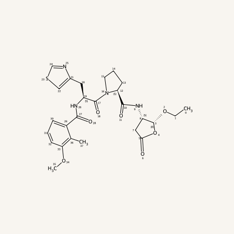 CCO[C@@H]1OC(=O)C[C@@H]1NC(=O)[C@@H]1CCCN1C(=O)[C@H](Cc1cscn1)NC(=O)c1cccc(OC)c1C